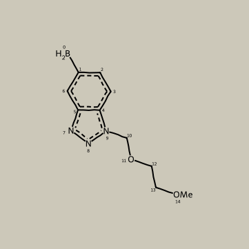 Bc1ccc2c(c1)nnn2COCCOC